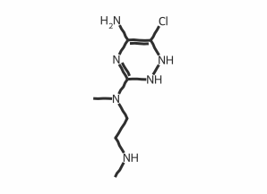 CNCCN(C)C1=NC(N)=C(Cl)NN1